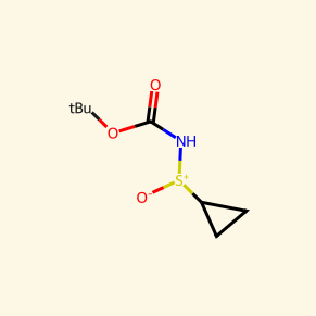 CC(C)(C)OC(=O)N[S+]([O-])C1CC1